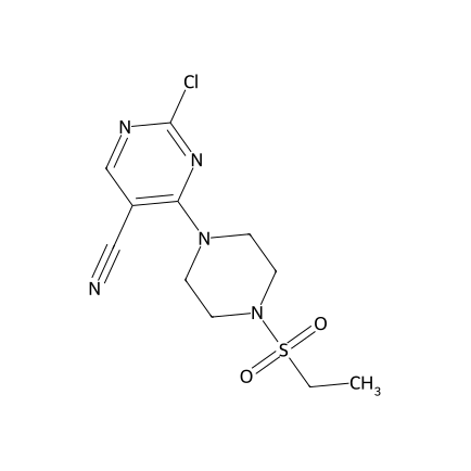 CCS(=O)(=O)N1CCN(c2nc(Cl)ncc2C#N)CC1